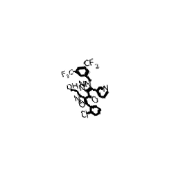 O=C(c1nnn(Cc2cc(C(F)(F)F)cc(C(F)(F)F)c2)c1-c1cccnc1)c1c(CCO)noc1-c1ccccc1Cl